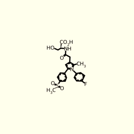 Cc1c(CC(=O)N[C@@H](CO)C(=O)O)cc(-c2ccc(S(C)(=O)=O)cc2)n1-c1ccc(F)cc1